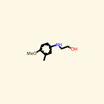 COc1ccc(NCCO)cc1C